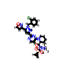 C[C@H]1CCCN(c2nc(-c3cc(-c4ccon4)n(Cc4ccccc4F)n3)ncc2F)[C@@H]1C(=O)NS(=O)(=O)C1CC1